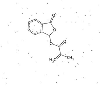 C=C(C)C(=O)OC1OC(=O)c2ccccc21